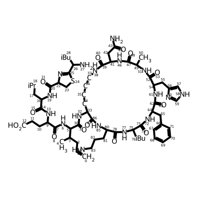 C=CCC(C)C(NC(=O)C(CCC(=O)O)NC(=O)C(CC(C)C)NC(=O)C1CSC(C(N)C(C)CC)=N1)C(=O)NC1CCCCNC(=O)C(CC(N)=O)NC(=O)C(C)NC(=O)C(Cc2c[nH]cn2)NC(=O)C(Cc2ccccc2)NC(=O)C(C(C)CC)NC(=O)C(CCCN)NC1=O